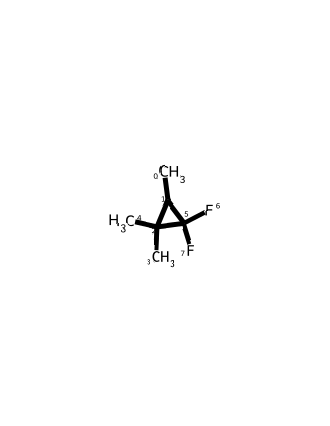 CC1C(C)(C)C1(F)F